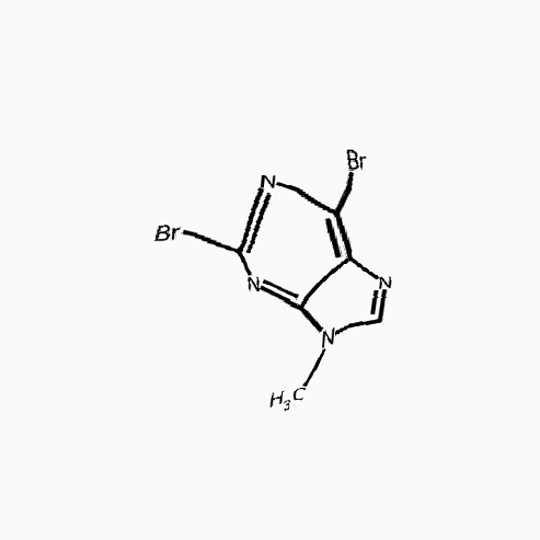 Cn1cnc2c(Br)nc(Br)nc21